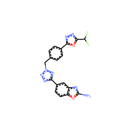 Nc1nc2cc(-c3nnn(Cc4ccc(-c5nnc(C(F)F)o5)cc4)n3)ccc2o1